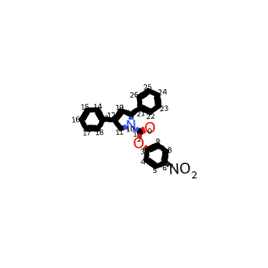 O=C(Oc1ccc([N+](=O)[O-])cc1)N1CC(c2ccccc2)=CC1c1ccccc1